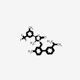 Cc1cc([C@H]2OC(=O)N(Cc3cc(C)ccc3-c3cccc(C(C)C)c3)[C@H]2C)cc(C(F)(F)F)c1